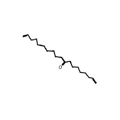 C=CCCCCCCCCC(=O)CCCCCCC=C